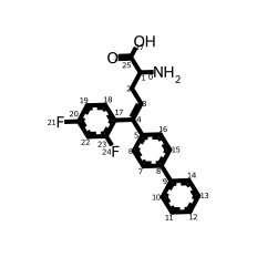 NC(CC=C(c1ccc(-c2ccccc2)cc1)c1ccc(F)cc1F)C(=O)O